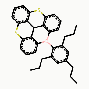 CCCc1cc(CCC)c(B2c3cccc4c3C3c5c(cccc5Sc5cccc2c53)S4)c(CCC)c1